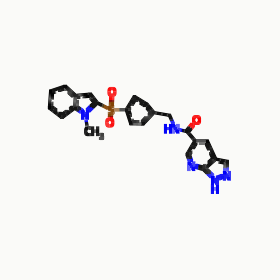 Cn1c(S(=O)(=O)c2ccc(CNC(=O)c3cnc4[nH]ncc4c3)cc2)cc2ccccc21